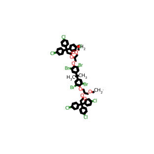 [CH2]COCC(COc1c(Br)cc(C(C)(C)c2cc(Br)c(OCC(COC[CH2])OC(=O)CC(c3ccc(Cl)cc3)(c3ccc(Cl)cc3)c3ccc(Cl)cc3)c(Br)c2)cc1Br)OC(=O)CC(c1ccc(Cl)cc1)(c1ccc(Cl)cc1)c1ccc(Cl)cc1